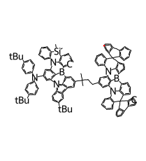 CC(C)(C)c1ccc(N(c2ccc(C(C)(C)C)cc2)c2cc3c4c(c2)-n2c5ccc(C(C)(C)C)cc5c5cc(C(C)(C)CCc6cc7c8c(c6)N6c9ccccc9C9(c%10ccccc%10-c%10ccccc%109)c9cccc(c96)B8c6cccc8c6N7c6ccccc6C86c7ccccc7-c7ccccc76)cc(c52)B4c2cccc4c2N3c2ccccc2[Si]4(C)C)cc1